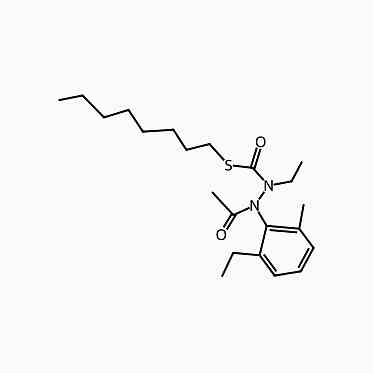 CCCCCCCCSC(=O)N(CC)N(C(C)=O)c1c(C)cccc1CC